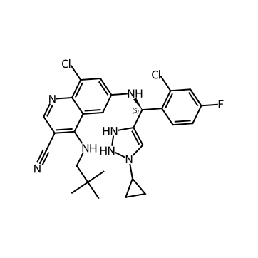 CC(C)(C)CNc1c(C#N)cnc2c(Cl)cc(N[C@H](C3=CN(C4CC4)NN3)c3ccc(F)cc3Cl)cc12